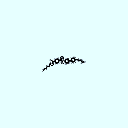 CCCCCCOC(C)c1ccc(C(=O)Oc2ccc(-c3ccc(CCCCC)cc3)cc2)cc1